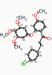 COc1ccc(C(=O)/C=C/c2ccc(Br)cc2)c(Oc2cc(OC)c(OC)c(OC)c2)c1